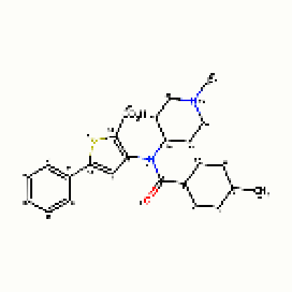 CC1CCC(C(=O)N(c2cc(-c3ccccc3)sc2C(=O)O)C2CCN(C(C)C)CC2)CC1